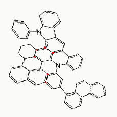 c1ccc(-n2c3ccccc3c3cc(-c4ccccc4N(c4cccc(-c5cccc6c5ccc5ccccc56)c4)c4ccccc4-c4cccc5cccc(C6CCCCC6)c45)ccc32)cc1